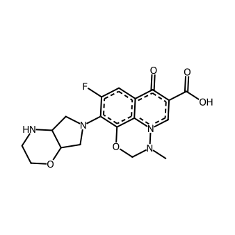 CN1COc2c(N3CC4NCCOC4C3)c(F)cc3c(=O)c(C(=O)O)cn1c23